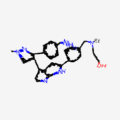 CCN(CCO)Cc1ccc(-c2cc3c(-c4cn(C)nc4-c4ccc(N)cc4)ccnc3[nH]2)cc1